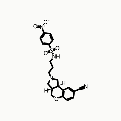 N#Cc1ccc2c(c1)[C@@H]1CN(CCCNS(=O)(=O)c3ccc([N+](=O)[O-])cc3)C[C@H]1CO2